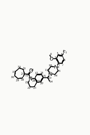 COc1cc(F)ccc1N1CCN(C(C)c2ccc3c(c2)CCCN3C(=O)C2CCCCCC2)CC1